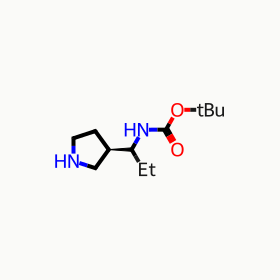 CCC(NC(=O)OC(C)(C)C)[C@@H]1CCNC1